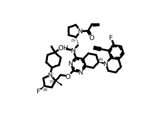 C#Cc1c(F)ccc2c1N([C@@H]1CCc3c(nc(OC[C@]4(C)C[C@@H](F)CN4C4CCC(C)(O)CC4)nc3N(C)C[C@@H]3CCCN3C(=O)C=C)C1)CCC2